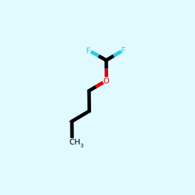 C[CH]CCOC(F)F